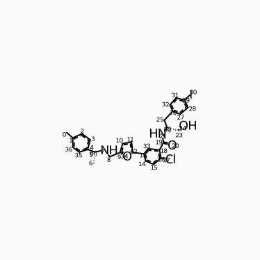 Cc1ccc([C@@H](C)NCc2ccc(-c3ccc(Cl)c(C(=O)N[C@@H](CO)Cc4ccc(I)cc4)c3)o2)cc1